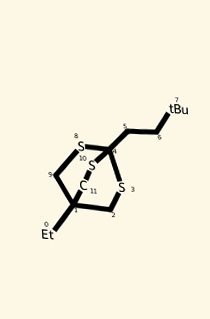 CCC12CSC(CCC(C)(C)C)(SC1)SC2